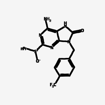 CCC[S+]([O-])c1nc(N)c2[nH]c(=O)n(Cc3ccc(C(F)(F)F)cc3)c2n1